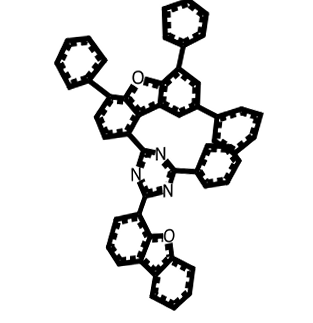 c1ccc(-c2cc(-c3ccccc3)c3oc4c(-c5ccccc5)ccc(-c5nc(-c6ccccc6)nc(-c6cccc7c6oc6ccccc67)n5)c4c3c2)cc1